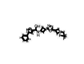 OC(N[C@H]1C[C@H](c2nnc(C3CN(CC(F)(F)F)C3)o2)C1)c1cc(-c2ccccc2)no1